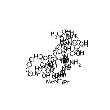 CN[C@H](CC(C)C)C(=O)NC1C(=O)N[C@@H](CC(N)=O)C(=O)N[C@H]2C(=O)N[C@H]3C(=O)N[C@H](C(=O)N[C@@H](C(=O)O)c4cc(O)cc(O)c4-c4cc3ccc4O)[C@H](O[C@H]3C[C@](C)(N)[C@@H](O)[C@H](C)O3)c3ccc(c(Cl)c3)Oc3cc2cc(c3O[C@@H]2O[C@H](CO)[C@@H](O[C@@H]3O[C@H](CNCc4ccc(Oc5ccc(Cl)cc5)s4)[C@H](O)[C@H](O)[C@H]3O)[C@H](O)[C@H]2O)Oc2ccc(cc2Cl)[C@H]1O